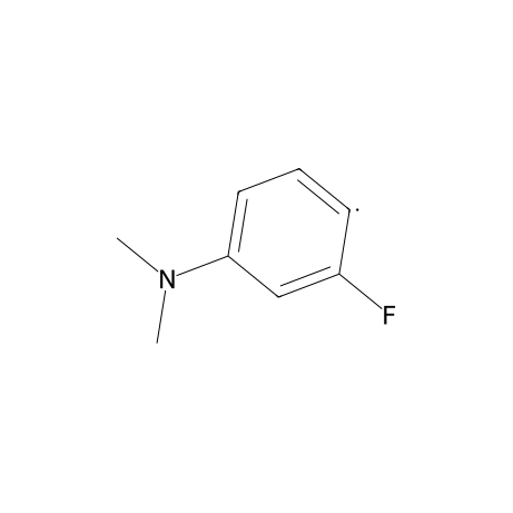 CN(C)c1cc[c]c(F)c1